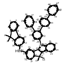 CC1(C)c2ccccc2-c2ccc(Nc3ccc4c(c3)-c3c(c5ccccc5n3-c3ccc(-c5ccccc5)c(-c5ccc(-c6ccccc6)cc5)c3)C4(C)C)cc21